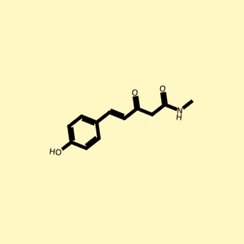 CNC(=O)CC(=O)C=Cc1ccc(O)cc1